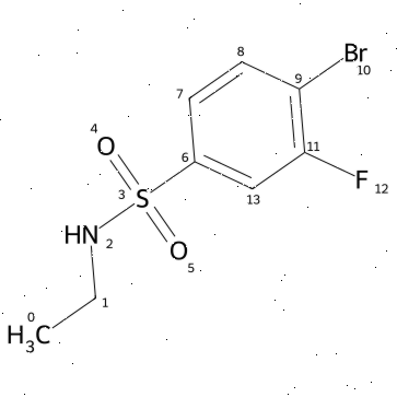 CCNS(=O)(=O)c1ccc(Br)c(F)c1